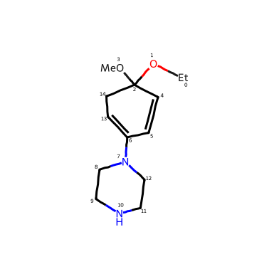 CCOC1(OC)C=CC(N2CCNCC2)=CC1